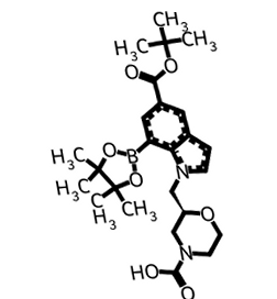 CC(C)(C)OC(=O)c1cc(B2OC(C)(C)C(C)(C)O2)c2c(ccn2C[C@@H]2CN(C(=O)O)CCO2)c1